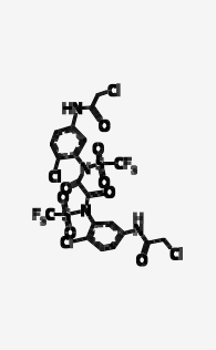 O=C(CCl)Nc1ccc(Cl)c(N(C(=O)C(=O)N(c2cc(NC(=O)CCl)ccc2Cl)S(=O)(=O)C(F)(F)F)S(=O)(=O)C(F)(F)F)c1